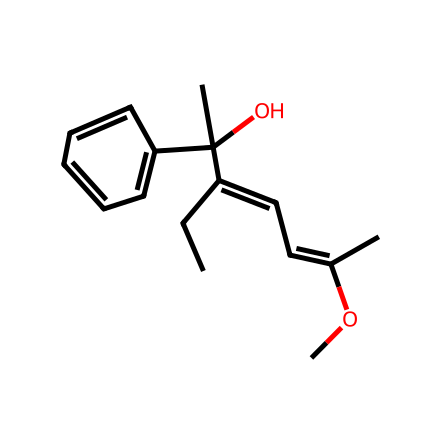 CC/C(=C\C=C(/C)OC)C(C)(O)c1ccccc1